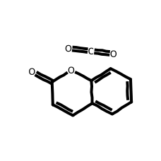 O=C=O.O=c1ccc2ccccc2o1